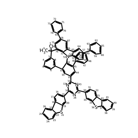 CC1(C)c2cccc(c2)-c2cc(-c3nc(-c4ccc5c(c4)sc4ccccc45)nc(-c4ccc5c(c4)sc4ccccc45)n3)cc(-c3ccccc3)c2-n2c3ccc(-c4ccccc4)cc3c3cc(-c4ccccc4)cc1c32